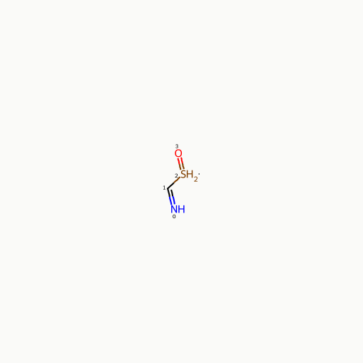 N=C[SH2]=O